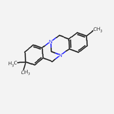 Cc1ccc2c(c1)CN1CN2CC2=CC(C)(C)CC=C21